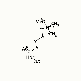 CCN[C@@H](CCCC[N+](C)(C)OC)C(C)=O